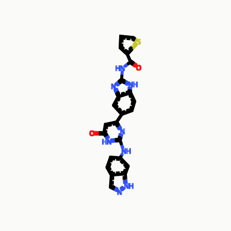 O=C(Nc1nc2cc(-c3cc(=O)[nH]c(Nc4ccc5cn[nH]c5c4)n3)ccc2[nH]1)c1cccs1